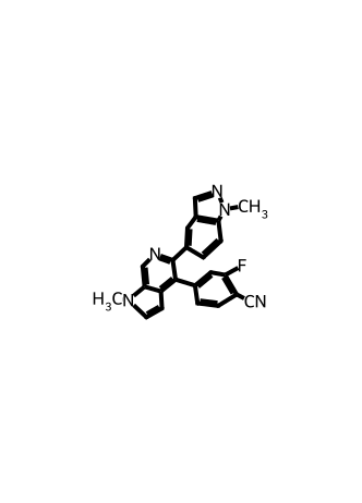 Cn1ccc2c(-c3ccc(C#N)c(F)c3)c(-c3ccc4c(cnn4C)c3)ncc21